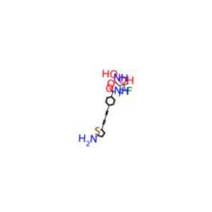 CC(O)(C(F)F)C(NC(=O)c1ccc(C#CC#Cc2ccc(N)s2)cc1)C(=O)NO